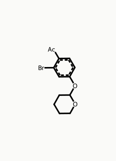 CC(=O)c1ccc(OC2CCCCO2)cc1Br